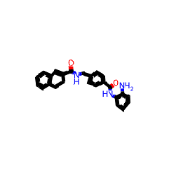 Nc1ccccc1NC(=O)c1ccc(CNC(=O)C2=Cc3ccccc3CC2)cc1